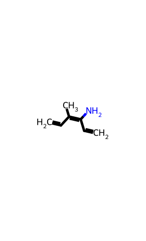 C=C/C(C)=C(/N)C=C